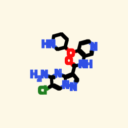 Nc1nc2c(C(=O)Nc3cnccc3OC3CCCNC3)cnn2cc1Cl